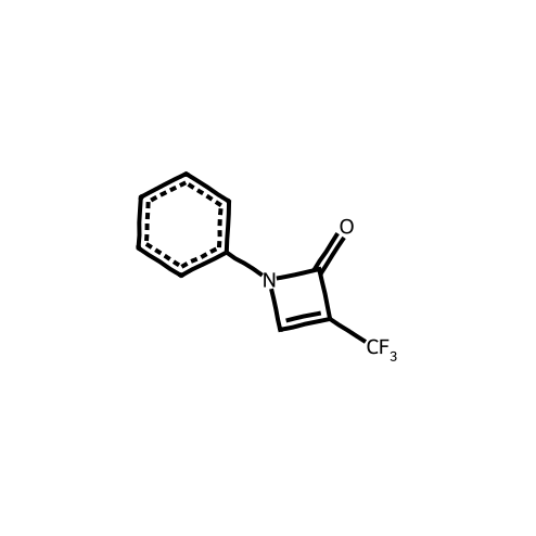 O=C1C(C(F)(F)F)=CN1c1ccccc1